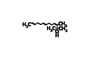 CC=CCCC=CCCC=C(C)C(C)(C)O